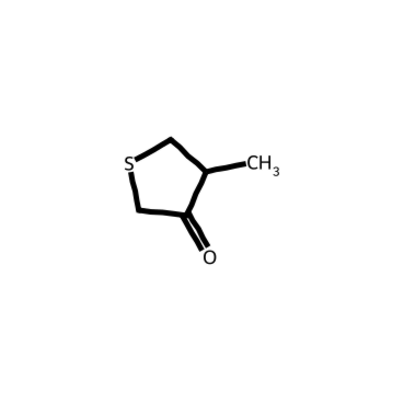 CC1CSCC1=O